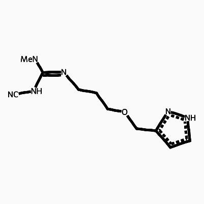 CN/C(=N/CCCOCc1cc[nH]n1)NC#N